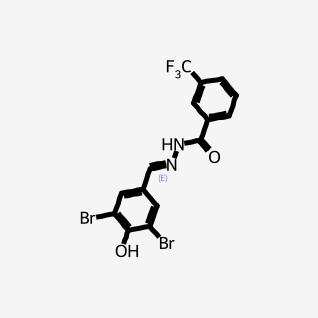 O=C(N/N=C/c1cc(Br)c(O)c(Br)c1)c1cccc(C(F)(F)F)c1